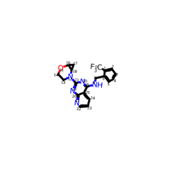 FC(F)(F)c1ccccc1CNc1nc(N2CCOC3CC32)nc2ncccc12